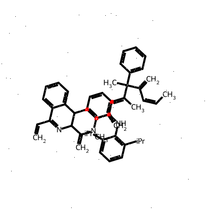 C=CC1=NC(C(=C)N(C)c2ccccc2Nc2c(C(C)C)cccc2C(C)C)C(CCC(=C)/C=C(\C)C(C)(C(=C)/C=C\C)c2ccccc2)c2ccccc21